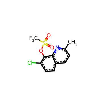 Cc1ccc2ccc(Cl)c(OS(=O)(=O)C(F)(F)F)c2n1